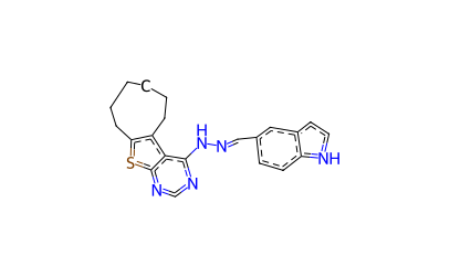 C(=NNc1ncnc2sc3c(c12)CCCCCC3)c1ccc2[nH]ccc2c1